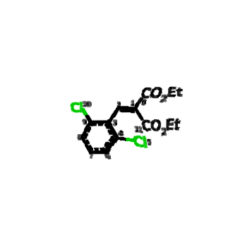 CCOC(=O)C(=Cc1c(Cl)cccc1Cl)C(=O)OCC